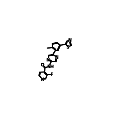 Cc1ccc(-c2cncs2)cc1-c1cnc(NC(=O)c2ccncc2F)cn1